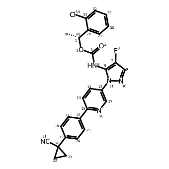 C[C@@H](OC(=O)Nc1c(F)cnn1-c1ccc(-c2ccc(C3(C#N)CC3)cc2)nc1)c1ccccc1Cl